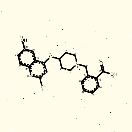 Cc1cc(OC2CCN(Cc3ccccc3C(=O)O)CC2)c2cc(O)ccc2n1